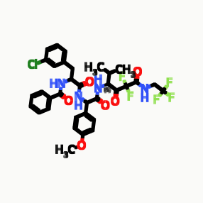 COc1ccc(C(NC(=O)C(Cc2cccc(Cl)c2)NC(=O)c2ccccc2)C(=O)N[C@H](C(=O)C(F)(F)C(=O)NCC(F)(F)F)C(C)C)cc1